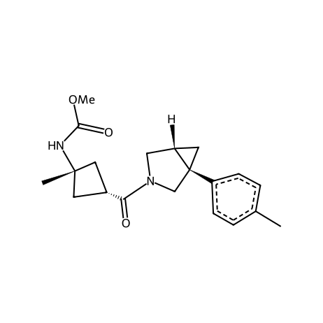 COC(=O)N[C@]1(C)C[C@H](C(=O)N2C[C@@H]3C[C@]3(c3ccc(C)cc3)C2)C1